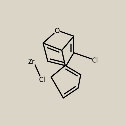 Clc1ccc2c(C3=CC=CC3)c1O2.[Cl][Zr]